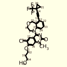 Cn1c(=O)nc(N2CCOCc3c(C#CC4(C(F)(F)F)CC4)cccc32)c2cc(Cl)c(OCCCO)cc21